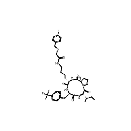 CCC(C)[C@@H]1NC(=O)[C@@H](Cc2ccc(C(F)(F)F)cc2)NC(=O)[C@H](CCCCNC(=O)COCc2ccc(F)cc2)NC(=O)[C@H]2CCCN2C1=O